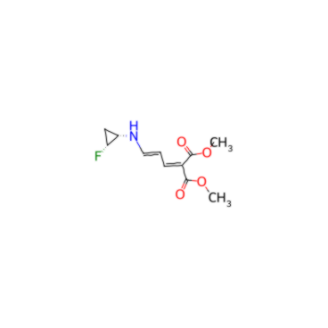 COC(=O)C(=C/C=C/N[C@H]1C[C@H]1F)C(=O)OC